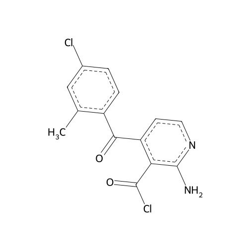 Cc1cc(Cl)ccc1C(=O)c1ccnc(N)c1C(=O)Cl